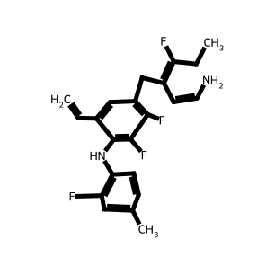 C=Cc1cc(CC(/C=C\N)=C(\F)CC)c(F)c(F)c1Nc1ccc(C)cc1F